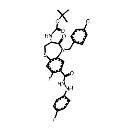 CC(C)(C)OC(=O)N[C@H]1CSc2cc(F)c(C(=O)NNc3ccc(F)cc3)cc2N(Cc2ccc(Cl)cc2)C1=O